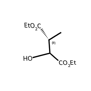 CCOC(=O)C(O)[C@@H](C)C(=O)OCC